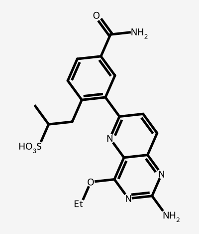 CCOc1nc(N)nc2ccc(-c3cc(C(N)=O)ccc3CC(C)S(=O)(=O)O)nc12